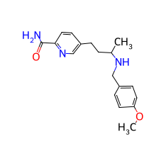 COc1ccc(CNC(C)CCc2ccc(C(N)=O)nc2)cc1